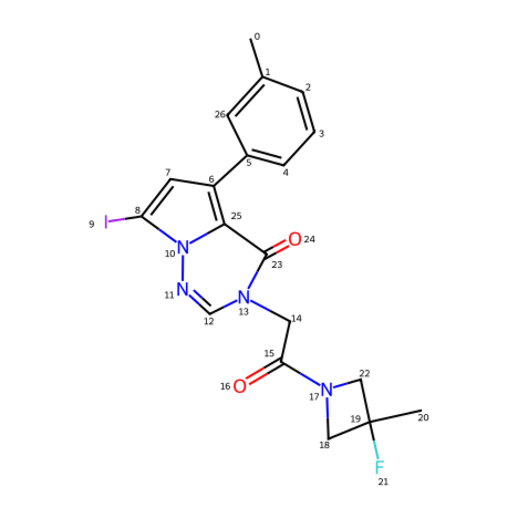 Cc1cccc(-c2cc(I)n3ncn(CC(=O)N4CC(C)(F)C4)c(=O)c23)c1